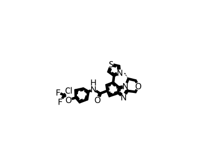 C[C@@H]1COCc2nc3cc(C(=O)Nc4ccc(OC(F)(F)Cl)cc4)cc(-c4cscn4)c3n21